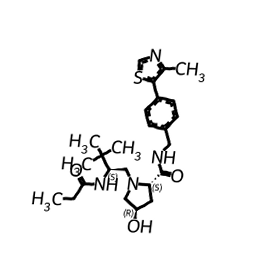 CCC(=O)N[C@H](CN1C[C@H](O)C[C@H]1C(=O)NCc1ccc(-c2scnc2C)cc1)C(C)(C)C